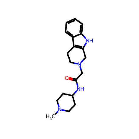 CN1CCC(NC(=O)CN2CCc3c([nH]c4ccccc34)C2)CC1